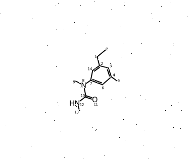 CCc1cc(C)cc(N(C)C(=O)NC)c1